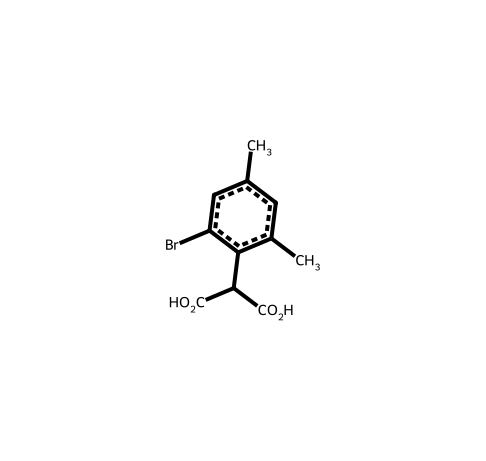 Cc1cc(C)c(C(C(=O)O)C(=O)O)c(Br)c1